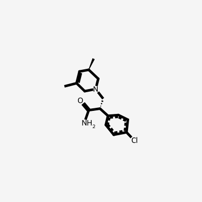 CC1=C[C@@H](C)CN(C[C@@H](C(N)=O)c2ccc(Cl)cc2)C1